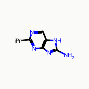 CC(C)c1ncc2[nH]c(N)nc2n1